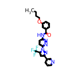 CCCCOc1cccc(C(=O)Nc2ccc(-n3nc(-c4cccnc4)cc3C(F)(F)F)nn2)c1